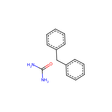 NC(N)=O.c1ccc(Cc2ccccc2)cc1